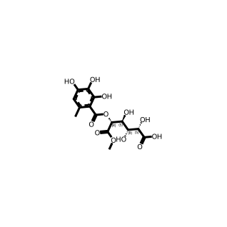 COC(=O)[C@H](OC(=O)c1c(C)cc(O)c(O)c1O)[C@@H](O)[C@@H](O)[C@H](O)C(=O)O